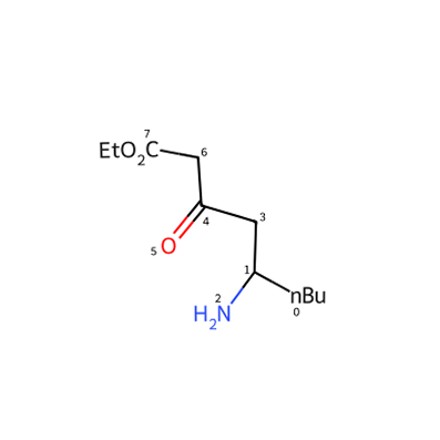 CCCCC(N)CC(=O)CC(=O)OCC